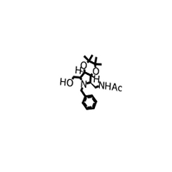 CC(=O)NC[C@@H]1[C@H]2OC(C)(C)C(C)(C)O[C@@H]2C(CO)N1Cc1ccccc1